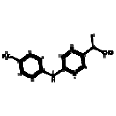 CC(C=O)c1cnc(Nc2ccc(C(F)(F)F)cc2)cn1